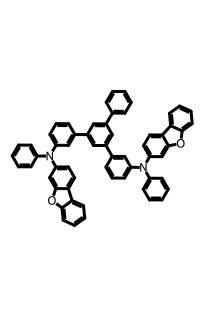 c1ccc(-c2cc(-c3cccc(N(c4ccccc4)c4ccc5c(c4)oc4ccccc45)c3)cc(-c3cccc(N(c4ccccc4)c4ccc5c(c4)oc4ccccc45)c3)c2)cc1